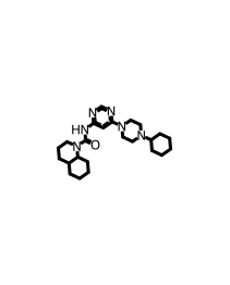 O=C(Nc1cc(N2CCN(C3CCCCC3)CC2)ncn1)N1CCCC2CCCCC21